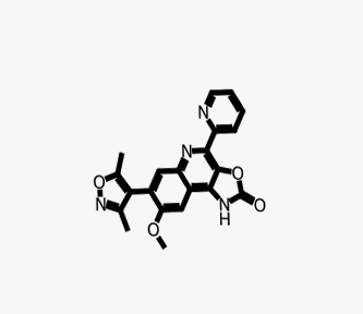 COc1cc2c(cc1-c1c(C)noc1C)nc(-c1ccccn1)c1oc(=O)[nH]c12